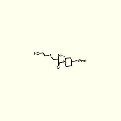 CCCCCC1CCN(C(=O)C(N)CSCCO)CC1